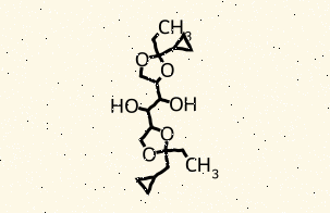 CCC1(CC2CC2)OCC(C(O)C(O)C2COC(CC)(C3CC3)O2)O1